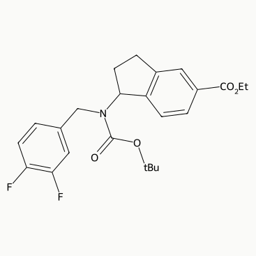 CCOC(=O)c1ccc2c(c1)CCC2N(Cc1ccc(F)c(F)c1)C(=O)OC(C)(C)C